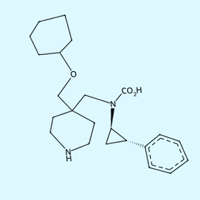 O=C(O)N(CC1(COC2CCCCC2)CCNCC1)[C@@H]1C[C@H]1c1ccccc1